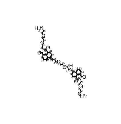 CCCOCCOCCN1C(=O)c2cccc3c(NCCOCCOCCNc4ccc5c6c(cccc46)C(=O)N(CCOCCOCCN)C5=O)ccc(c23)C1=O